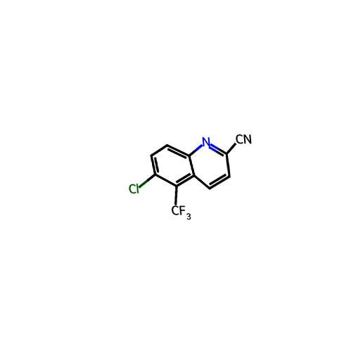 N#Cc1ccc2c(C(F)(F)F)c(Cl)ccc2n1